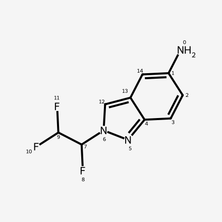 Nc1ccc2nn(C(F)C(F)F)cc2c1